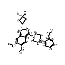 COc1cc2nc([C@H]3C[C@](C)(Cl)C3)nc(N3CCN(c4ccccc4OC)CC3)c2cc1OC